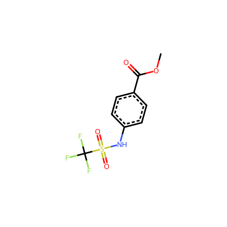 COC(=O)c1ccc(NS(=O)(=O)C(F)(F)F)cc1